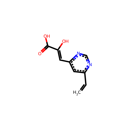 C=Cc1cc(C=C(O)C(=O)O)ncn1